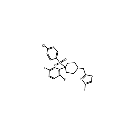 Cc1csc(CC2CCC(c3cc(F)ccc3F)(S(=O)(=O)c3ccc(Cl)cc3)CC2)n1